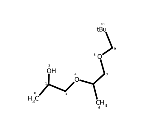 CC(O)COC(C)COCC(C)(C)C